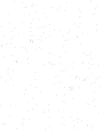 CC1(C)c2cccc3c2-c2c1cccc2C12c4ccc(-n5c6ccccc6c6ccccc65)c5cccc(c45)C31c1cccc3c(-n4c5ccccc5c5ccccc54)ccc2c13